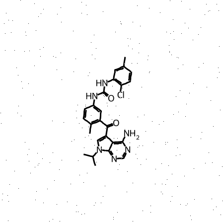 Cc1ccc(Cl)c(NC(=O)Nc2ccc(C)c(C(=O)c3cn(C(C)C)c4ncnc(N)c34)c2)c1